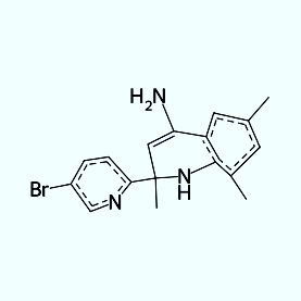 Cc1cc(C)c2c(c1)C(N)=CC(C)(c1ccc(Br)cn1)N2